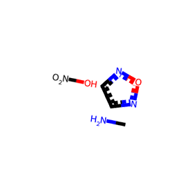 CN.O=[N+]([O-])O.c1cnon1